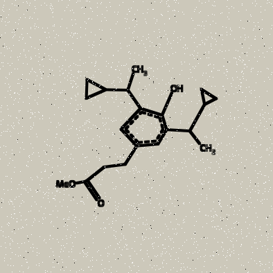 COC(=O)CCc1cc(C(C)C2CC2)c(O)c(C(C)C2CC2)c1